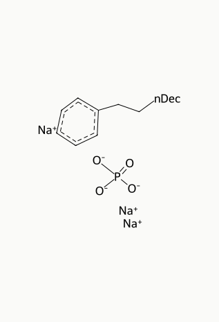 CCCCCCCCCCCCc1ccccc1.O=P([O-])([O-])[O-].[Na+].[Na+].[Na+]